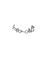 Cn1cc2c(C(=O)NC3CCC(CCN4CCc5sc(OCC(C)(F)F)nc5C4)CC3)cccc2n1